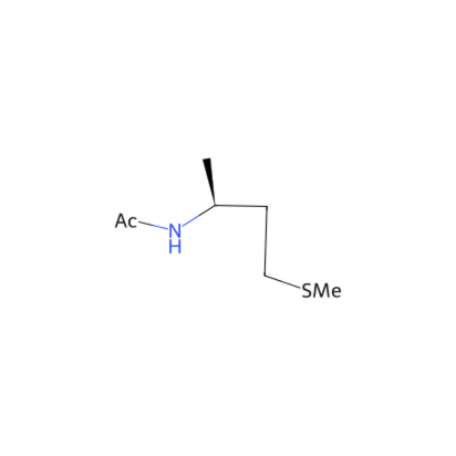 CSCC[C@H](C)NC(C)=O